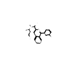 CC(CCF)N(C)C(=O)c1cc2ccccc2c(-c2cccc(I)c2)n1